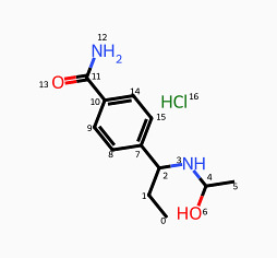 CCC(NC(C)O)c1ccc(C(N)=O)cc1.Cl